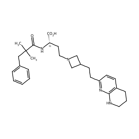 CC(C)(Cc1ccccc1)C(=O)N[C@@H](CCN1CC(CCc2ccc3c(n2)NCCC3)C1)C(=O)O